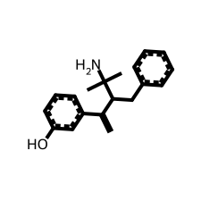 C=C(c1cccc(O)c1)C(Cc1ccccc1)C(C)(C)N